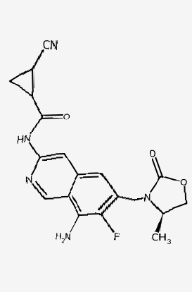 C[C@@H]1COC(=O)N1c1cc2cc(NC(=O)C3CC3C#N)ncc2c(N)c1F